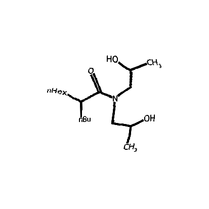 CCCCCCC(CCCC)C(=O)N(CC(C)O)CC(C)O